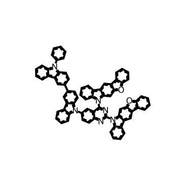 c1ccc(-n2c3ccccc3c3cc(-c4ccc5c(c4)c4ccccc4n5-c4ccc5nc(-n6c7ccccc7c7cc8c(cc76)oc6ccccc68)nc(-n6c7ccccc7c7cc8c(cc76)oc6ccccc68)c5c4)ccc32)cc1